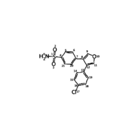 NS(=O)(=O)c1ccc(-c2cocc2-c2ccc(Cl)cc2)cc1